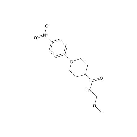 COCNC(=O)C1CCN(c2ccc([N+](=O)[O-])cc2)CC1